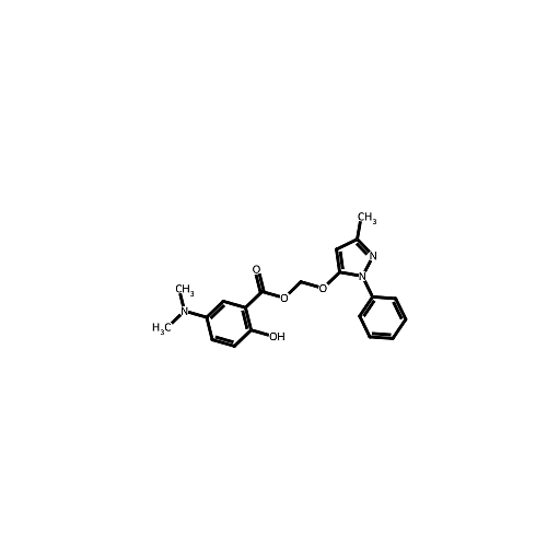 Cc1cc(OCOC(=O)c2cc(N(C)C)ccc2O)n(-c2ccccc2)n1